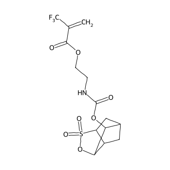 C=C(C(=O)OCCNC(=O)OC1C2CC3C1OS(=O)(=O)C3C2)C(F)(F)F